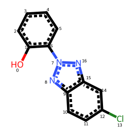 Oc1ccccc1-n1nc2ccc(Cl)cc2n1